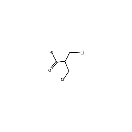 O=C([S])C(CCl)CCl